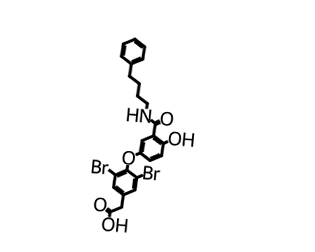 O=C(O)Cc1cc(Br)c(Oc2ccc(O)c(C(=O)NCCCCc3ccccc3)c2)c(Br)c1